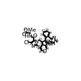 CCc1nc(Cl)c(C(=O)NCC(=O)OC)n1Cc1c2ccocc-2c(Br)c1-c1ccccc1-c1nnn[nH]1